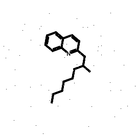 C[CH]CCCCC(C)Cc1ccc2ccccc2n1